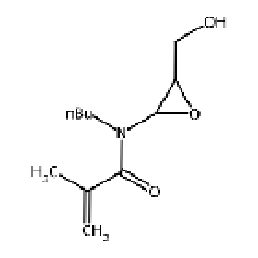 C=C(C)C(=O)N(CCCC)C1OC1CO